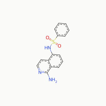 Nc1nccc2c(NS(=O)(=O)c3ccccc3)cccc12